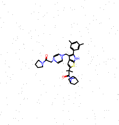 Cc1cc(C)cc(-c2[nH]c3sc(C(C)(C)C(=O)N4C5CCC4CC5)cc3c2CN2C=CN(CC(=O)N3CCCC3)C=C2)c1